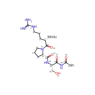 CC(=O)N[C@@H](CCCNC(=N)N)C(=O)N1CCC[C@H]1C(=O)N[C@@H](CO)C(=O)NC(=O)C(C)C